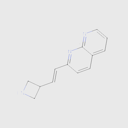 C(=C\C1CNC1)/c1ccc2cccnc2n1